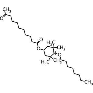 CCCCCCCCON1C(C)(C)CC(OC(=O)CCCCCCCCC(C)=O)CC1(C)C